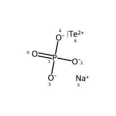 O=P([O-])([O-])[O-].[Na+].[Te+2]